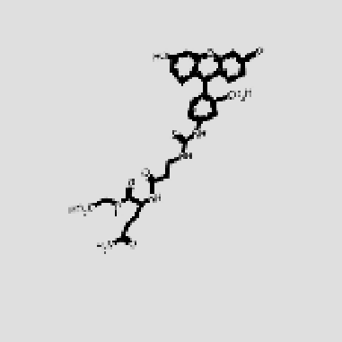 NC(=O)CCC(NC(=O)CCNC(=S)Nc1ccc(-c2c3ccc(=O)cc-3oc3cc(O)ccc23)c(C(=O)O)c1)C(=O)NCC(=O)O